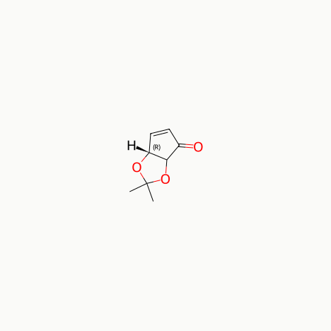 CC1(C)OC2C(=O)C=C[C@H]2O1